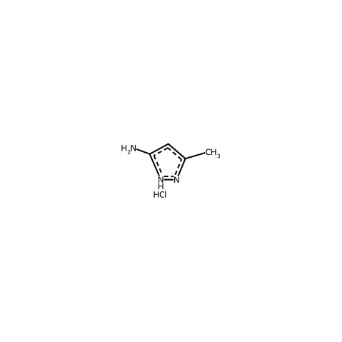 Cc1cc(N)[nH]n1.Cl